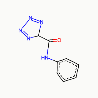 O=C(Nc1ccccc1)C1N=NN=N1